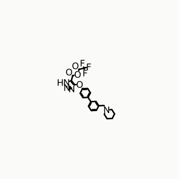 O=C(OC(=O)C(F)(F)F)c1[nH]nnc1Oc1ccc(-c2cccc(CN3CCCCC3)c2)cc1